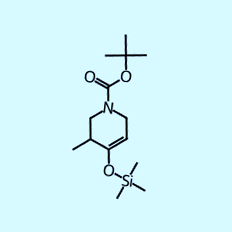 CC1CN(C(=O)OC(C)(C)C)CC=C1O[Si](C)(C)C